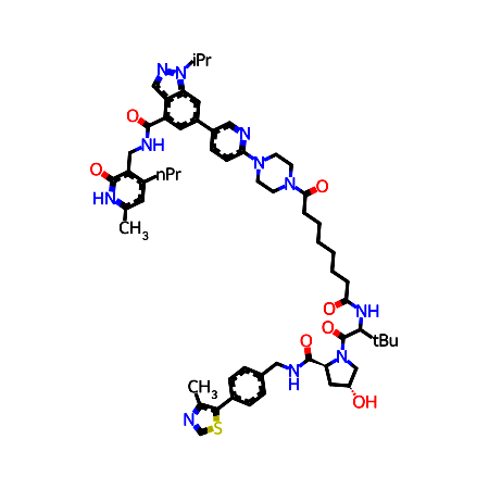 CCCc1cc(C)[nH]c(=O)c1CNC(=O)c1cc(-c2ccc(N3CCN(C(=O)CCCCCCC(=O)NC(C(=O)N4C[C@H](O)C[C@H]4C(=O)NCc4ccc(-c5scnc5C)cc4)C(C)(C)C)CC3)nc2)cc2c1cnn2C(C)C